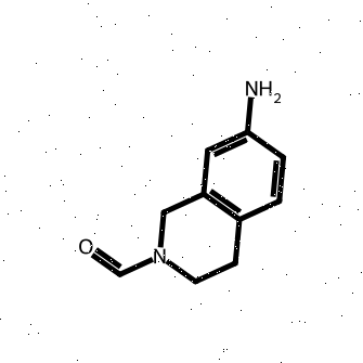 Nc1ccc2c(c1)CN(C=O)CC2